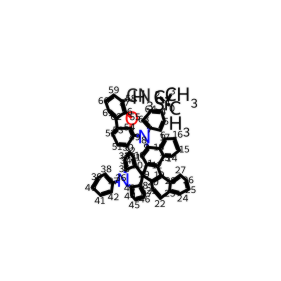 C[Si](C)(C)c1ccc(N(c2cc3c(c4ccccc24)-c2c(ccc4ccccc24)C32c3ccccc3N(c3ccccc3)c3ccccc32)c2cccc3c2oc2c(C#N)cccc23)cc1